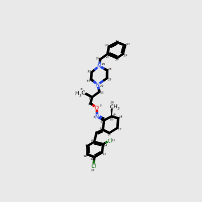 CC(CON=C1C(=Cc2ccc(Cl)cc2Cl)CCC[C@@H]1C)CN1CCN(Cc2ccccc2)CC1